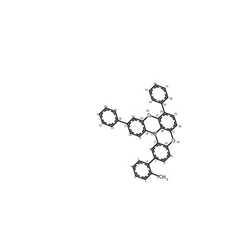 Cc1ccccc1-c1ccc2c(c1)B1c3ccc(-c4ccccc4)cc3Oc3c(-c4ccccc4)ccc(c31)O2